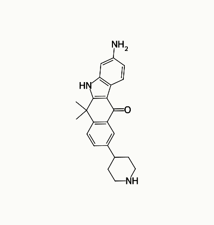 CC1(C)c2ccc(C3CCNCC3)cc2C(=O)c2c1[nH]c1cc(N)ccc21